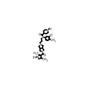 CCn1nc(C)c(C(=O)N2CC3CN(CCCN(C(=O)C4CCN(C(C)=O)CC4)c4ccc(C)c(Cl)c4)CC3C2)c1C